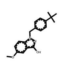 COc1ccc2c(c1)c(O)nn2Cc1ccc(C(C)(C)C)cc1